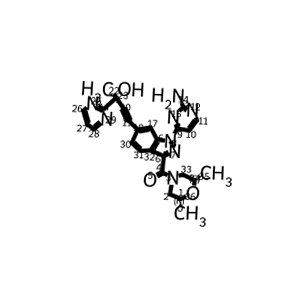 C[C@@H]1CN(C(=O)c2nn(-c3ccnc(N)n3)c3cc(C#CC(C)(O)c4ncccn4)ccc23)C[C@H](C)O1